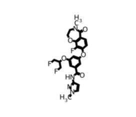 CN1CCOc2c(ccc(Oc3cc(OC(CF)CF)cc(C(=O)Nc4ccn(C)n4)c3)c2F)C1=O